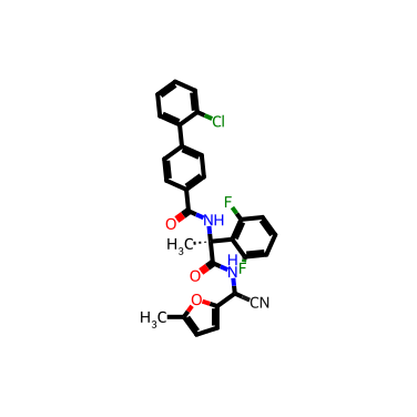 Cc1ccc(C(C#N)NC(=O)[C@@](C)(NC(=O)c2ccc(-c3ccccc3Cl)cc2)c2c(F)cccc2F)o1